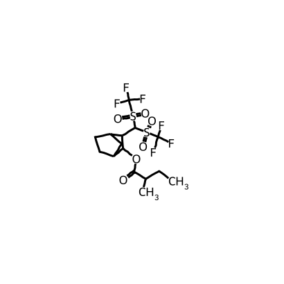 CCC(C)C(=O)OC1C2CCC(C2)C1C(S(=O)(=O)C(F)(F)F)S(=O)(=O)C(F)(F)F